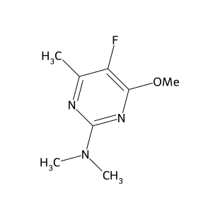 COc1nc(N(C)C)nc(C)c1F